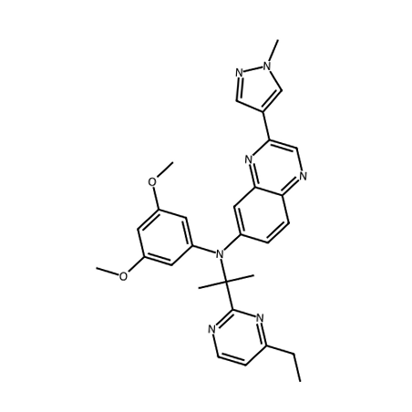 CCc1ccnc(C(C)(C)N(c2cc(OC)cc(OC)c2)c2ccc3ncc(-c4cnn(C)c4)nc3c2)n1